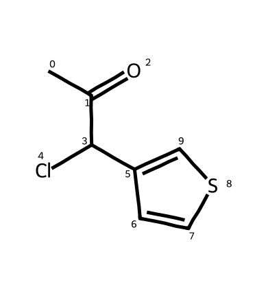 CC(=O)C(Cl)c1ccsc1